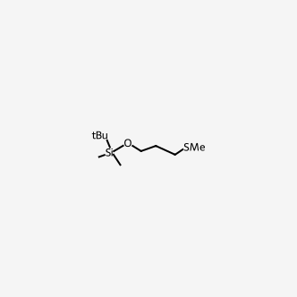 CSCCCO[Si](C)(C)C(C)(C)C